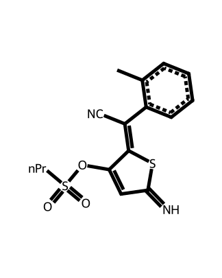 CCCS(=O)(=O)OC1=CC(=N)SC1=C(C#N)c1ccccc1C